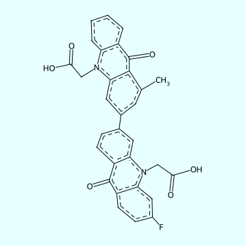 Cc1cc(-c2ccc3c(=O)c4ccc(F)cc4n(CC(=O)O)c3c2)cc2c1c(=O)c1ccccc1n2CC(=O)O